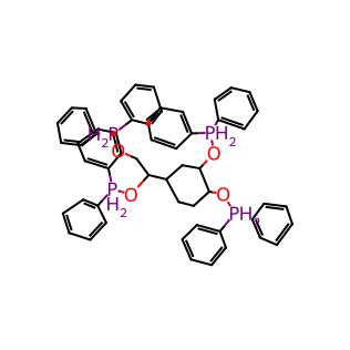 c1ccc([PH2](OCC(O[PH2](c2ccccc2)c2ccccc2)C2CCC(O[PH2](c3ccccc3)c3ccccc3)C(O[PH2](c3ccccc3)c3ccccc3)C2)c2ccccc2)cc1